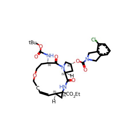 CCOC(=O)[C@@]12C[C@H]1C=CCCOCC[C@H](NC(=O)OC(C)(C)C)C(=O)N1C[C@H](OC(=O)N3Cc4cccc(Cl)c4C3)C[C@H]1C(=O)N2